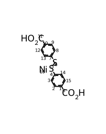 O=C(O)c1ccc(SSc2ccc(C(=O)O)cc2)cc1.[Ni]